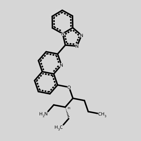 CCCC(Oc1cccc2ccc(-c3nnc4ccccn34)nc12)[C@H](CC)CN